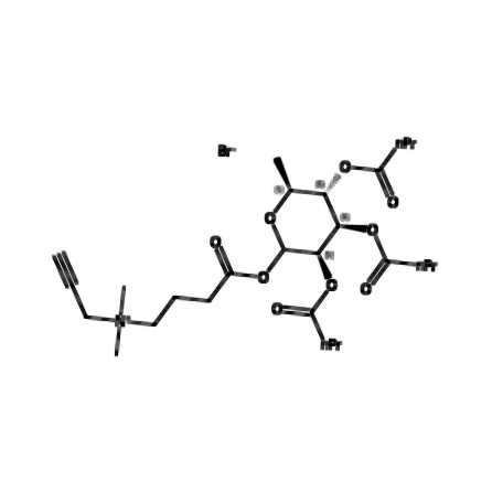 C#CC[N+](C)(C)CCCC(=O)OC1O[C@@H](C)[C@H](OC(=O)CCC)[C@@H](OC(=O)CCC)[C@H]1OC(=O)CCC.[Br-]